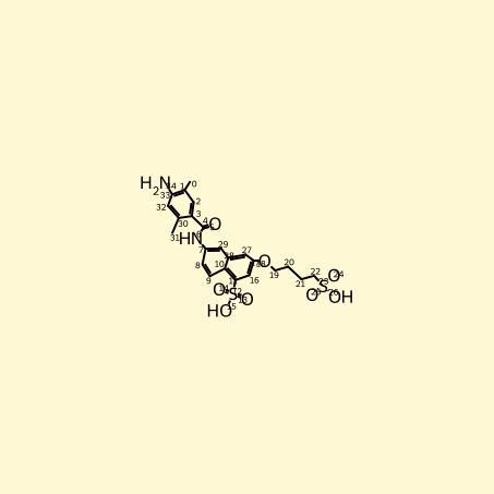 Cc1cc(C(=O)Nc2ccc3c(S(=O)(=O)O)cc(OCCCCS(=O)(=O)O)cc3c2)c(C)cc1N